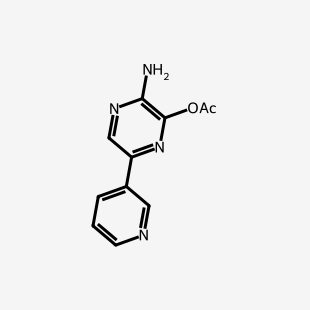 CC(=O)Oc1nc(-c2cccnc2)cnc1N